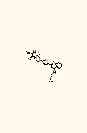 CCC(C)C(N)C(=O)N1CCN(c2ccc(-c3cc(NCCCN(C)C)c4ccccc4n3)cc2)CC1